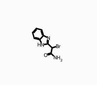 NC(=O)C(Br)c1nc2ccccc2[nH]1